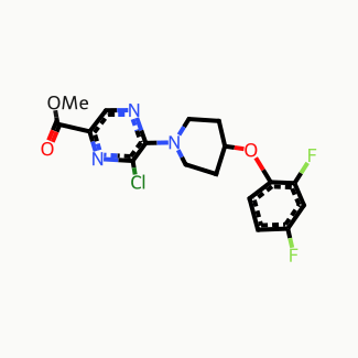 COC(=O)c1cnc(N2CCC(Oc3ccc(F)cc3F)CC2)c(Cl)n1